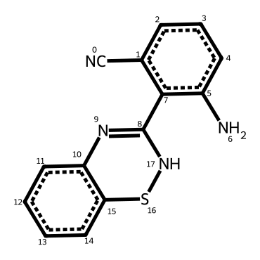 N#Cc1cccc(N)c1C1=Nc2ccccc2SN1